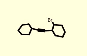 BrC1CCCCC1C#CC1CCCCC1